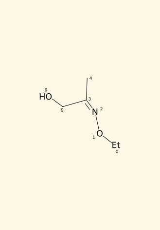 CCON=C(C)CO